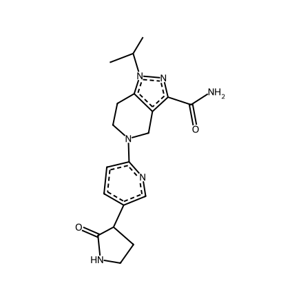 CC(C)n1nc(C(N)=O)c2c1CCN(c1ccc(C3CCNC3=O)cn1)C2